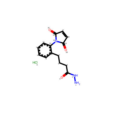 Cl.NNC(=O)CCCc1ccccc1N1C(=O)C=CC1=O